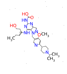 CCC[C@@H](CCO)Nc1nc(NC(=O)O)nc2cnn(Cc3cnc(C4CCN(C(C)C)CC4)cc3OC)c12